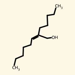 CCCCC/C=C(\CO)CCCCC